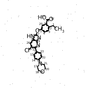 CCc1ccc(Oc2nc3nc(-c4ccc(N5CCOCC5)cc4)c(Cl)cc3[nH]2)cc1C(=O)O